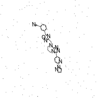 N#Cc1cccc(-c2nc(CN3CCCn4c(-c5ccc(-n6cccn6)nc5)nnc43)no2)c1